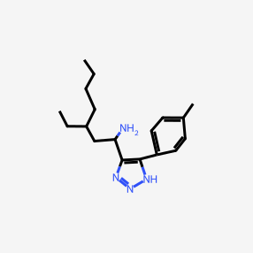 CCCCC(CC)CC(N)c1nn[nH]c1-c1ccc(C)cc1